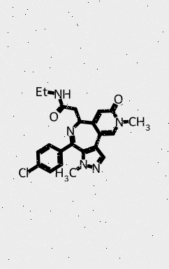 CCNC(=O)CC1N=C(c2ccc(Cl)cc2)c2c(cnn2C)-c2cn(C)c(=O)cc21